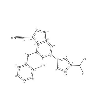 CC(C)n1cc(-c2cc(Sc3ncccc3F)c3c(C#N)cnn3c2)cn1